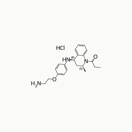 CCC(=O)N1c2ccccc2[C@H](Nc2ccc(OCCN)cc2)C[C@@H]1C.Cl